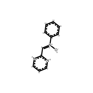 [O-][N+](=Cc1ncccn1)c1ccccc1